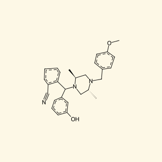 COc1ccc(CN2C[C@H](C)N(C(c3cccc(O)c3)c3ccccc3C#N)C[C@H]2C)cc1